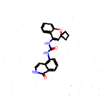 O=C(NC1=CC2(CCC2)Oc2ccccc21)Nc1cccc2c(=O)[nH]ccc12